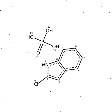 Clc1cc2ccccc2[nH]1.O=P(O)(O)O